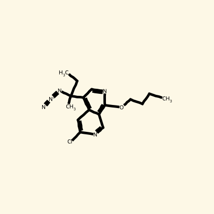 CCCCOc1ncc(C(C)(CC)N=[N+]=[N-])c2cc(Cl)ncc12